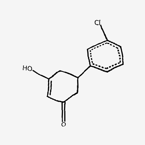 O=C1C=C(O)CC(c2cccc(Cl)c2)C1